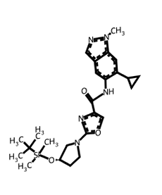 Cn1ncc2cc(NC(=O)c3coc(N4CC[C@H](O[Si](C)(C)C(C)(C)C)C4)n3)c(C3CC3)cc21